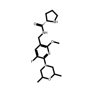 COc1nc(N2CC(C)OC(C)C2)c(F)cc1CNC(=O)[C@@H]1CCCN1